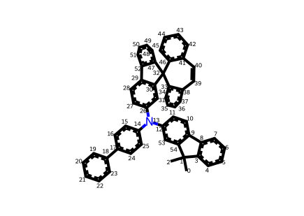 CC1(C)c2ccccc2-c2ccc(N(c3ccc(-c4ccccc4)cc3)c3ccc4c(c3)C3(c5ccccc5C=Cc5ccccc53)c3ccccc3-4)cc21